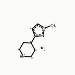 Cl.Cn1ccc(C2CCNCC2)n1